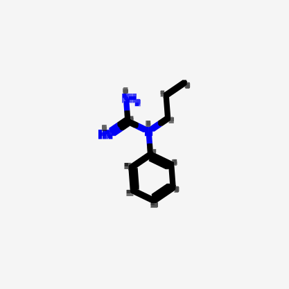 CCCN(C(=N)N)c1ccccc1